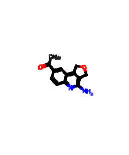 COC(=O)c1ccc2nc(N)c3c(c2c1)COC3